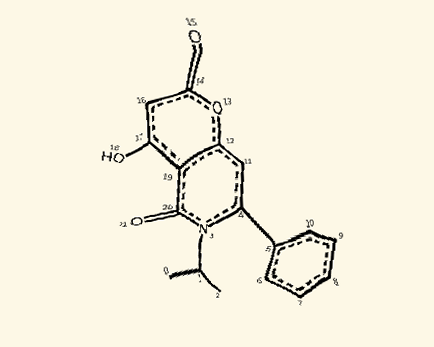 CC(C)n1c(-c2ccccc2)cc2oc(=O)cc(O)c2c1=O